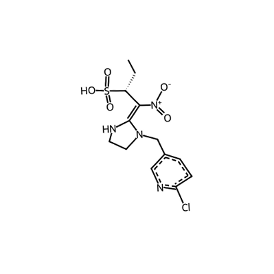 CC[C@H](C(=C1NCCN1Cc1ccc(Cl)nc1)[N+](=O)[O-])S(=O)(=O)O